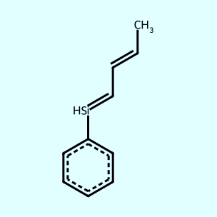 CC=CC=[SiH]c1ccccc1